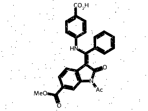 COC(=O)c1ccc2c(c1)N(C(C)=O)C(=O)C2=C(Nc1ccc(C(=O)O)cc1)c1ccccc1